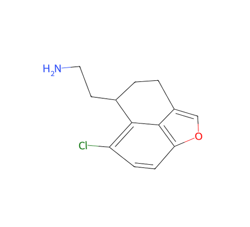 NCCC1CCc2coc3ccc(Cl)c1c23